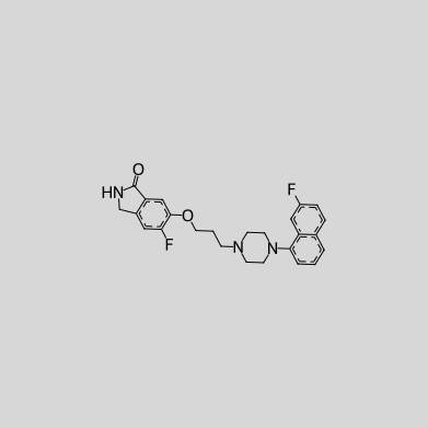 O=C1NCc2cc(F)c(OCCCN3CCN(c4cccc5ccc(F)cc45)CC3)cc21